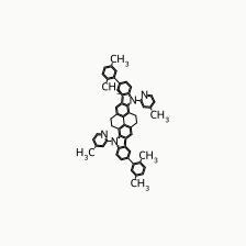 Cc1ccnc(-n2c3ccc(-c4cc(C)ccc4C)cc3c3cc4c5c(c32)CCc2cc3c6cc(-c7cc(C)ccc7C)ccc6n(-c6cc(C)ccn6)c3c(c2-5)CC4)c1